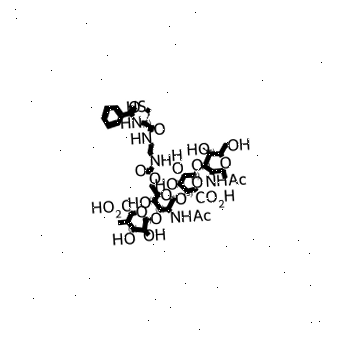 CC(=O)NC1C(C)OC(CO)[C@@H](O)[C@@H]1O[C@@H]1OC(C(=O)O)[C@@H](O[C@@H]2OC(COC(=O)NCCNC(=O)[C@@H](CS)NC(=O)c3ccccc3)[C@@H](O)[C@H](O[C@@H]3OC(C(=O)O)C(C)[C@H](O)C3O)C2NC(C)=O)[C@H](O)C1O